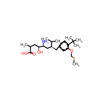 CSCOc1cc(C[C@@H](C[C@H](N)[C@@H](O)CC(C)C(=O)O)C(C)C)ccc1C(C)(C)C